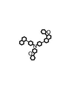 c1ccc2c(-c3ccc(N(c4ccc(-c5ccc6ccc7oc8ccccc8c7c6c5)cc4)c4ccc5c(c4)oc4ccccc45)cc3)cccc2c1